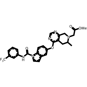 COC(=O)CN1Cc2ncnc(Oc3ccc4c(ccn4C(=O)Nc4cccc(C(F)(F)F)c4)c3)c2CC1C